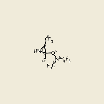 FC(F)(F)C1NC1(F)ON(C(F)(F)F)C(F)(F)F